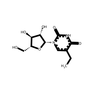 CCc1cn([C@@H]2O[C@H](CO)[C@@H](O)[C@@H]2O)c(=O)[nH]c1=O